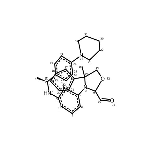 C[C@H](Nc1nccc(N2C(C=O)OCC2(C)c2ccccc2)n1)c1ccc(N2CCCCC2)cc1